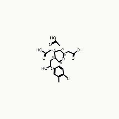 Cc1ccc([C@H]2O[C@H](CC(=O)O)[C@@H](CC(=O)O)[C@@H](CC(=O)O)[C@@H]2CC(=O)O)cc1Cl